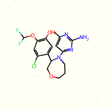 Cc1cc(N2CCCOCC2c2cc(O)c(OC(F)F)cc2Cl)nc(N)n1